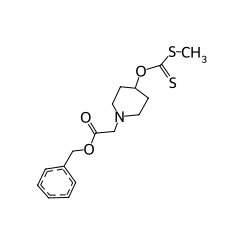 CSC(=S)OC1CCN(CC(=O)OCc2ccccc2)CC1